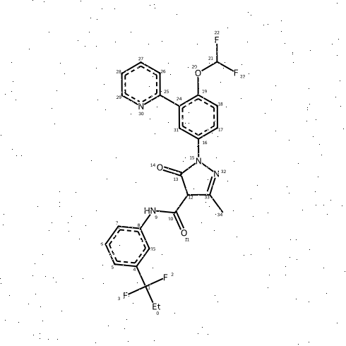 CCC(F)(F)c1cccc(NC(=O)C2C(=O)N(c3ccc(OC(F)F)c(-c4ccccn4)c3)N=C2C)c1